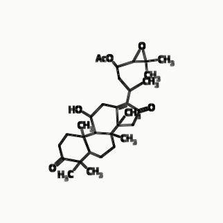 CC(=O)OC(CC(C)C1=C2CC(O)C3C4(C)CCC(=O)C(C)(C)C4CCC3(C)C2(C)CC1=O)C1OC1(C)C